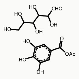 CC(=O)OC(=O)c1cc(O)c(O)c(O)c1.O=CC(O)C(O)C(O)C(O)CO